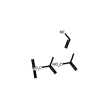 C=C(C)C(=O)O.C=C(C)C(=O)O.C=C=C.C=CC#N